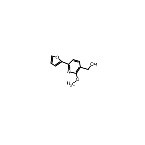 COc1nc(-c2ccco2)ccc1CO